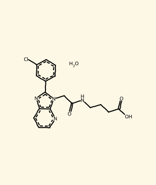 O.O=C(O)CCCNC(=O)Cn1c(-c2cccc(Cl)c2)nc2cccnc21